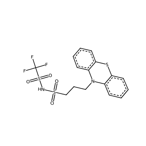 O=S(=O)(CCCN1c2ccccc2Sc2ccccc21)NS(=O)(=O)C(F)(F)F